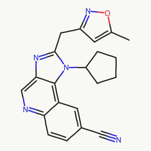 Cc1cc(Cc2nc3cnc4ccc(C#N)cc4c3n2C2CCCC2)no1